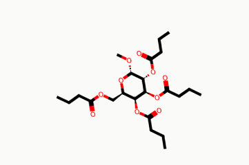 CCCC(=O)OC[C@H]1O[C@H](OC)[C@H](OC(=O)CCC)[C@@H](OC(=O)CCC)[C@H]1OC(=O)CCC